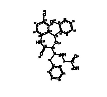 O=C(O)CNC(Cc1ccccc1)C1OC(c2ccccc2Cl)c2cc(Cl)ccc2NC1=O